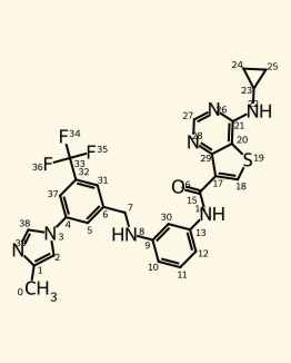 Cc1cn(-c2cc(CNc3cccc(NC(=O)c4csc5c(NC6CC6)ncnc45)c3)cc(C(F)(F)F)c2)cn1